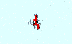 CCc1c(-c2ccc3c(c2)cc(CNC(CF)CF)n3C)[nH]c(=O)c(C(=O)OC(=O)c2c(OC(=O)C(F)(F)F)c(CC)c(-c3ccc4c(c3)cc(CN[C@@H](C)C(F)(F)F)n4C)[nH]c2=O)c1O.Cl